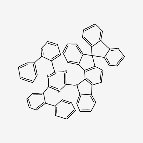 c1ccc(-c2ccccc2-c2nc(-c3ccccc3-c3ccccc3)nc(-n3c4ccccc4c4ccc5c(c43)-c3ccccc3C53c4ccccc4-c4ccccc43)n2)cc1